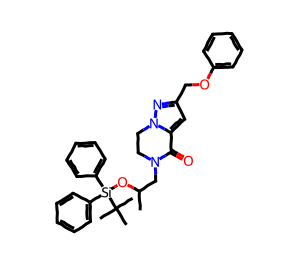 CC(CN1CCn2nc(COc3ccccc3)cc2C1=O)O[Si](c1ccccc1)(c1ccccc1)C(C)(C)C